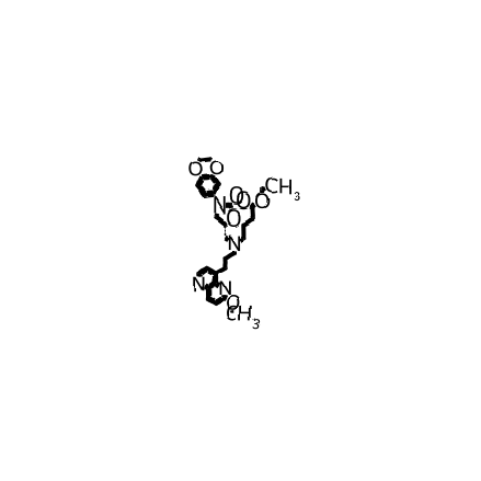 CCOC(=O)CCCN(CCCc1ccnc2ccc(OC)nc12)C[C@@H]1CN(c2ccc3c(c2)OCCO3)C(=O)O1